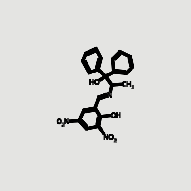 CC(N=Cc1cc([N+](=O)[O-])cc([N+](=O)[O-])c1O)C(O)(c1ccccc1)c1ccccc1